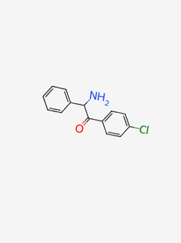 NC(C(=O)c1ccc(Cl)cc1)c1ccccc1